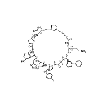 NCCCC[C@@H]1NC(=O)CCSCc2cccc(c2)CSC[C@@H](C(N)=O)NC(=O)[C@@H]2CCCN2C(=O)[C@H](Cc2ccc(O)cc2)NC(=O)[C@H](Cc2c[nH]cn2)NC(=O)[C@H](CC(=O)O)NC(=O)[C@H](Cc2c[nH]c3ccc(F)cc23)NC(=O)[C@H](Cc2ccc(-c3ccccc3)cc2)NC(=O)CNC1=O